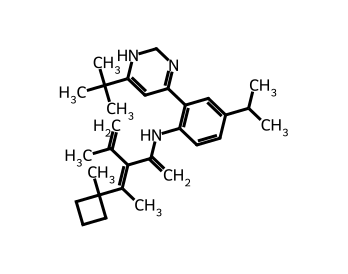 C=C(C)/C(C(=C)Nc1ccc(C(C)C)cc1C1=NCNC(C(C)(C)C)=C1)=C(/C)C1(C)CCC1